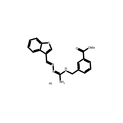 COC(=O)c1cccc(CNC(N)=NN=Cc2csc3ccccc23)c1.I